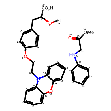 CCOC(Cc1ccc(OCCN2c3ccccc3Oc3ccccc32)cc1)C(=O)O.COC(=O)CNc1ccccc1